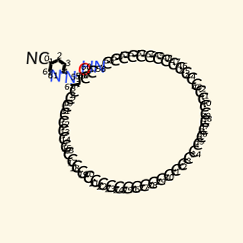 N#Cc1ccc(N2CC3(CCCCCCCCCCCCCCCCCCCCCCCCCCCCCCCCCCCCCCCCCCCCCCCCNCC3)C2=O)nc1